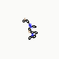 c1ccc(-c2nc(-c3ccc4sc5ccccc5c4c3)nc(-c3ccc4sc5cc(-n6c7ccccc7c7cccc(-c8ccccc8)c76)ccc5c4c3)n2)cc1